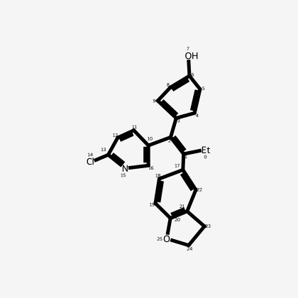 CCC(=C(c1ccc(O)cc1)c1ccc(Cl)nc1)c1ccc2c(c1)CCO2